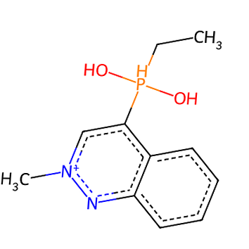 CC[PH](O)(O)c1c[n+](C)nc2ccccc12